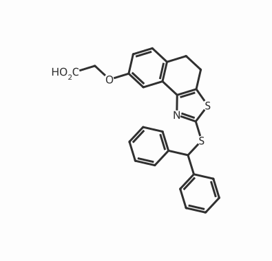 O=C(O)COc1ccc2c(c1)-c1nc(SC(c3ccccc3)c3ccccc3)sc1CC2